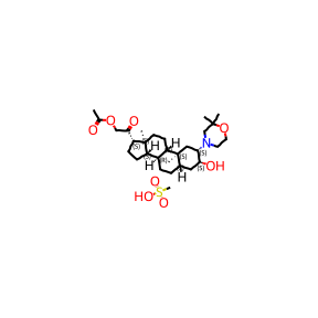 CC(=O)OCC(=O)[C@H]1CC[C@H]2[C@@H]3CC[C@H]4C[C@H](O)[C@@H](N5CCOC(C)(C)C5)C[C@]4(C)[C@H]3CC[C@]12C.CS(=O)(=O)O